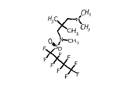 CN(C)CC(C)(C)CN(C)S(=O)(=O)C(F)(F)C(F)(F)C(F)(F)C(F)(F)F